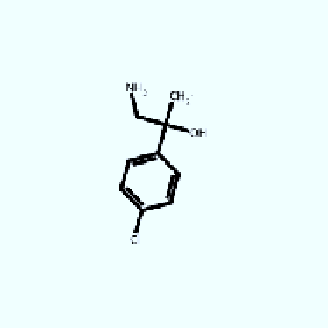 [CH2]C(O)(CN)c1ccc(Cl)cc1